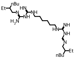 CCCCC(CC)CN=CNC(=N)NCCCCCCNC(=N)NC(N)=NCC(CC)CCCC